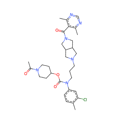 CC(=O)N1CCC(OC(=O)N(CCCN2CC3CN(C(=O)c4c(C)ncnc4C)CC3C2)c2ccc(C)c(Cl)c2)CC1